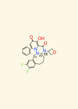 O=C1c2c(O)c(=O)ccn2N2[C@@H](c3ccccc3)c3cc(F)c(F)cc3CCC[C@@H]2N1C1COC1